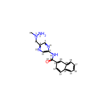 CN(N)Cc1cnc(NC(=O)c2ccc3ccccc3c2)cn1